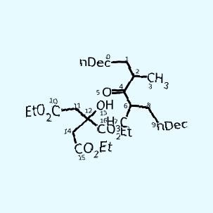 CCCCCCCCCCCC(C)C(=O)C(C)CCCCCCCCCCC.CCOC(=O)CC(O)(CC(=O)OCC)C(=O)OCC